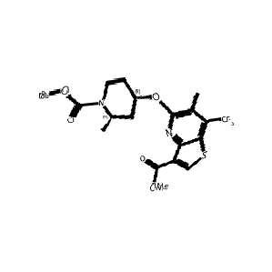 COC(=O)c1csc2c(C(F)(F)F)c(C)c(O[C@@H]3CCN(C(=O)OC(C)(C)C)[C@H](C)C3)nc12